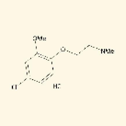 CNCCOc1ccc(Cl)cc1OC.Cl